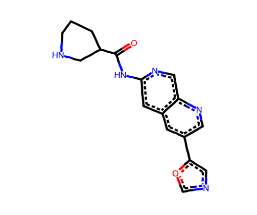 O=C(Nc1cc2cc(-c3cnco3)cnc2cn1)C1CCCNC1